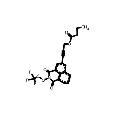 CCCC(=O)OCC#Cc1cc2c3c(cccc3c1)C(=O)N(OSC(F)(F)F)C2=O